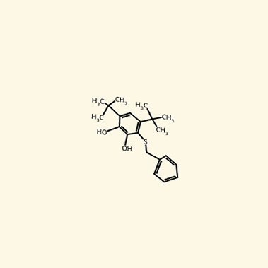 CC(C)(C)c1cc(C(C)(C)C)c(SCc2ccccc2)c(O)c1O